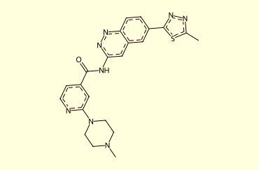 Cc1nnc(-c2ccc3nnc(NC(=O)c4ccnc(N5CCN(C)CC5)c4)cc3c2)s1